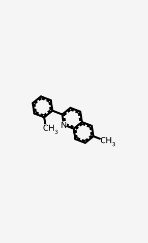 Cc1ccc2nc(-c3ccccc3C)ccc2c1